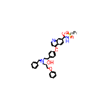 CCCS(=O)(=O)NC(=O)c1ccc2c(Oc3ccc(CCN(Cc4ccccc4)C[C@H](O)COc4ccccc4)cc3)ccnc2c1